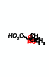 CC(O)CC(C)(C)OC(=O)CCCCC(=O)O